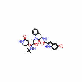 COc1ccc2[nH]c(C(=O)N[C@@H](Cc3ccccc3)C(=O)N[C@@H](C[C@@H]3CCCNC3=O)C(=O)C(=O)NC(C)(C)C)cc2c1